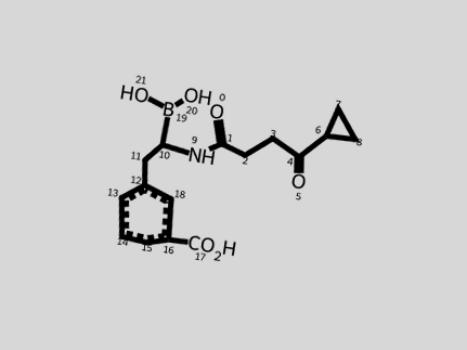 O=C(CCC(=O)C1CC1)NC(Cc1cccc(C(=O)O)c1)B(O)O